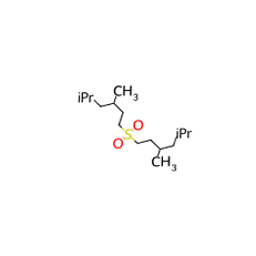 CC(C)CC(C)CCS(=O)(=O)CCC(C)CC(C)C